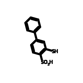 O=S(=O)(O)c1ccc(-c2ccccc2)cc1S